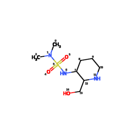 CN(C)S(=O)(=O)NC1CCCNC1CO